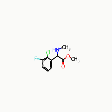 CNC(C(=O)OC)c1cccc(F)c1Cl